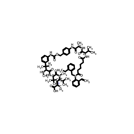 C=Cc1ccccc1N(Cc1ccccc1CC)C(=O)CCCCC(=O)N[C@H](C(=O)N[C@@H](C)C(=O)Nc1ccc(COC(=O)Nc2cccc(C(C)(C)C(NC)C(=O)N[C@H](C(=O)N(C)[C@H](/C=C(\C)C(=O)O)C(C)C)C(C)(C)C)c2)cc1)C(C)C